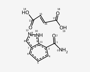 NC(=O)c1cccc2cn[nH]c12.O=C(O)/C=C/C(=O)O